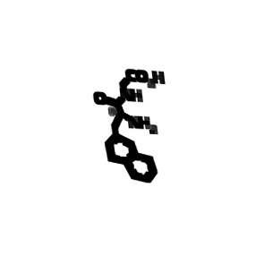 N[C@@H](Cc1ccc2ccccc2c1)C(=O)NCC(=O)O